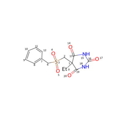 CCC1(CS(=O)(=O)Cc2ccccc2)C(=O)NC(=O)NC1=O